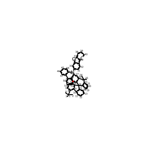 CC(C)(C)c1cccc2c1-c1ccccc1C21c2ccccc2C(C)(C)c2cc(N(c3ccc4c(c3)oc3ccccc34)c3ccccc3-c3ccccc3)ccc21